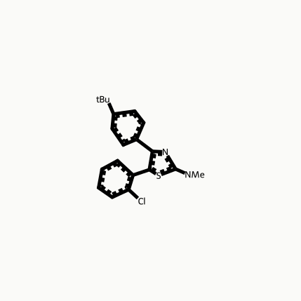 CNc1nc(-c2ccc(C(C)(C)C)cc2)c(-c2ccccc2Cl)s1